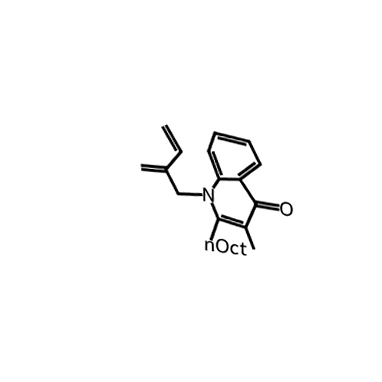 C=CC(=C)Cn1c(CCCCCCCC)c(C)c(=O)c2ccccc21